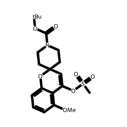 COc1cccc2c1C(OS(C)(=O)=O)=CC1(CCN(C(=O)OC(C)(C)C)CC1)O2